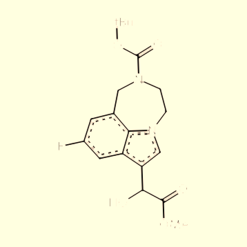 COC(=O)C(O)c1cn2c3c(cc(F)cc13)CN(C(=O)OC(C)(C)C)CC2